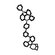 c1ccc(N(c2ccc(-c3cccc(-c4cccc5c4-c4ccccc4C54CCC5CC6CC4C56)c3)cc2)c2cccc3c2c2ccccc2n3-c2ccccc2)cc1